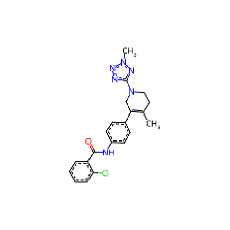 CC1=C(c2ccc(NC(=O)c3ccccc3Cl)cc2)CN(c2nnn(C)n2)CC1